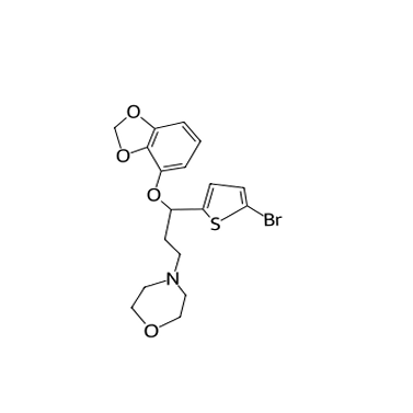 Brc1ccc(C(CCN2CCOCC2)Oc2cccc3c2OCO3)s1